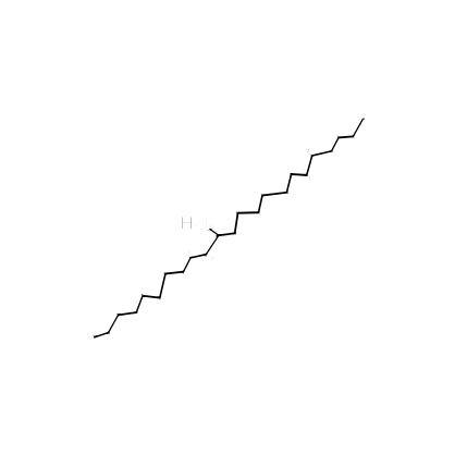 CCCCCCCCCCCCC(O)CCCCCCCCCC